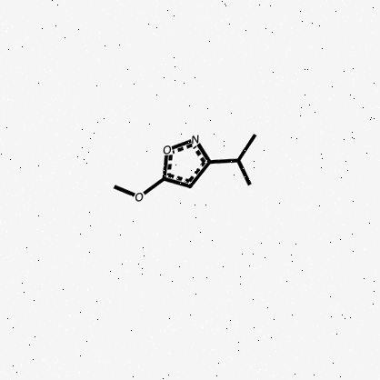 COc1cc(C(C)C)no1